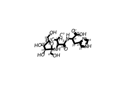 CC(C)C(N[C@@]1(CO)O[C@H](CO)[C@@H](O)[C@@H]1O)C(=O)NC(Cc1c[nH]cn1)C(=O)O